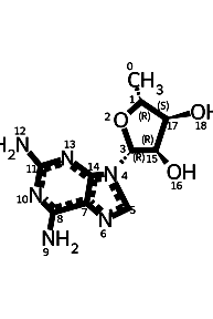 C[C@H]1O[C@@H](n2cnc3c(N)nc(N)nc32)[C@H](O)[C@@H]1O